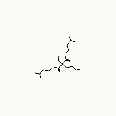 CCCCC(CC)(C(=O)OCCC(C)C)C(=O)OCCC(C)C